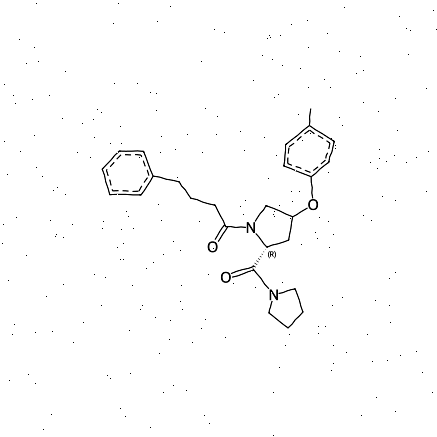 Cc1ccc(OC2C[C@H](C(=O)N3CCCC3)N(C(=O)CCCc3ccccc3)C2)cc1